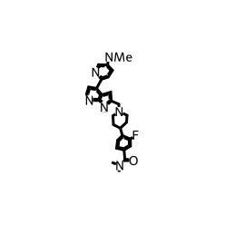 CNc1ccc(-c2ccnc3c2cc(CN2CCC(c4ccc(C(=O)N(C)C)cc4F)CC2)n3C)nc1